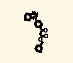 O=C(CC(=O)c1ccc(-n2nnc3ccccc32)cc1)OCc1ccccc1